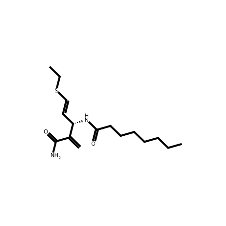 C=C(C(N)=O)[C@H](/C=C/SCC)NC(=O)CCCCCCC